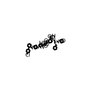 O=C(NS(=O)(=O)c1ccc(N[C@H](CCN2CCOCC2)CSc2ccccc2)c([N+](=O)[O-])c1)c1ccc(N2CCN(Cc3ccccc3-c3ccc(Cl)cc3)CC2)cn1